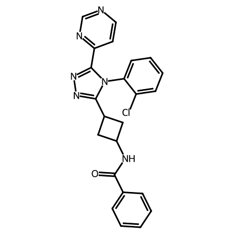 O=C(NC1CC(c2nnc(-c3ccncn3)n2-c2ccccc2Cl)C1)c1ccccc1